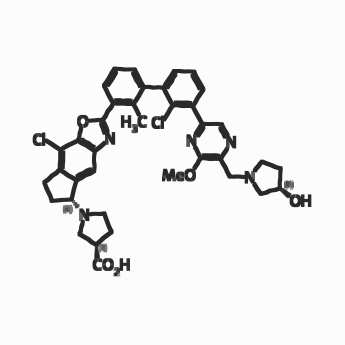 COc1nc(-c2cccc(-c3cccc(-c4nc5cc6c(c(Cl)c5o4)CC[C@H]6N4CC[C@@H](C(=O)O)C4)c3C)c2Cl)cnc1CN1CC[C@@H](O)C1